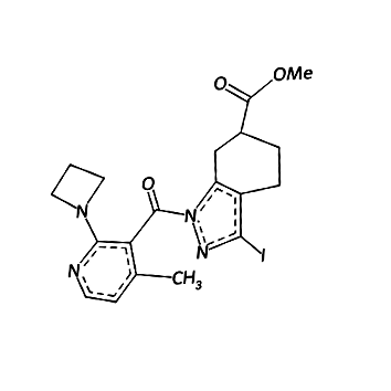 COC(=O)C1CCc2c(I)nn(C(=O)c3c(C)ccnc3N3CCC3)c2C1